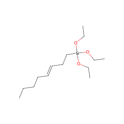 CCCCC=CCC[Si](OCC)(OCC)OCC